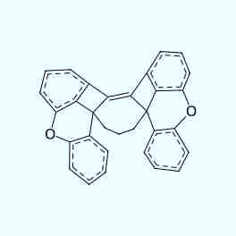 c1ccc2c(c1)Oc1cccc3c1C21CCCC24C(=C31)c1cccc(c12)Oc1ccccc14